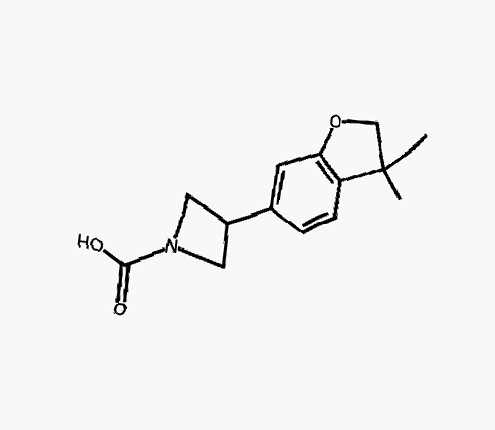 CC1(C)COc2cc(C3CN(C(=O)O)C3)ccc21